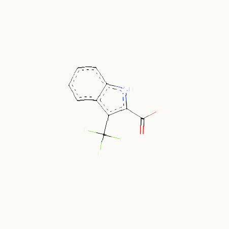 O=C(O)c1[nH]c2ccccc2c1C(F)(F)F